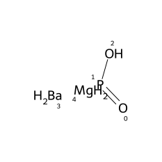 O=PO.[BaH2].[MgH2]